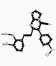 CCCCCOc1c(C=Cc2nc3sccn3c(=O)c2-c2ccc(OC(F)(F)F)cc2)cccc1OC